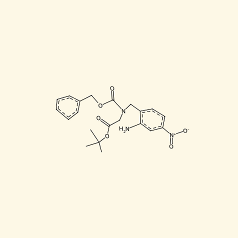 CC(C)(C)OC(=O)CN(Cc1ccc([N+](=O)[O-])cc1N)C(=O)OCc1ccccc1